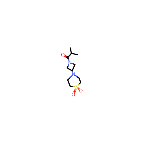 CC(C)C(=O)N1CC(N2CCS(=O)(=O)CC2)C1